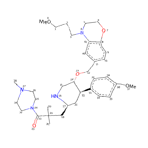 COCCCN1CCOc2ccc(CO[C@H]3CN[C@H](CC(C)(C)C(=O)N4CCN(C)CC4)C[C@@H]3c3ccc(OC)cc3)cc21